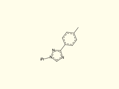 Cc1ccc(-c2ncn(C(C)C)n2)cc1